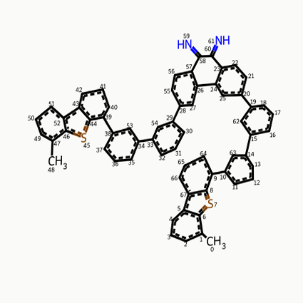 Cc1cccc2c1sc1c(-c3cccc(-c4cccc(-c5ccc6c(c5)-c5cc(-c7cccc(-c8cccc(-c9cccc%10c9sc9c(C)cccc9%10)c8)c7)ccc5C(=N)C6=N)c4)c3)cccc12